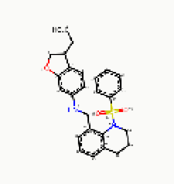 O=C(O)CC1COc2cc(NCc3cccc4c3N(S(=O)(=O)c3ccccc3)CCC4)ccc21